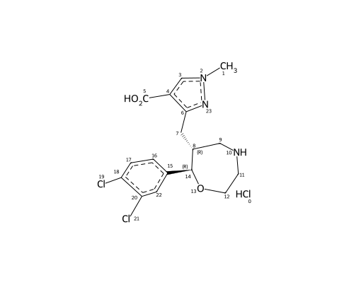 Cl.Cn1cc(C(=O)O)c(C[C@@H]2CNCCO[C@H]2c2ccc(Cl)c(Cl)c2)n1